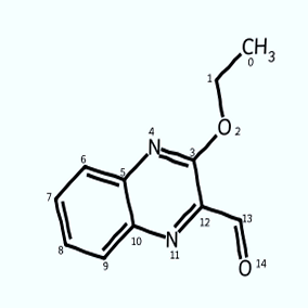 CCOc1nc2ccccc2nc1C=O